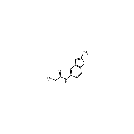 Cc1cc2cc(NC(=O)CN)ccc2s1